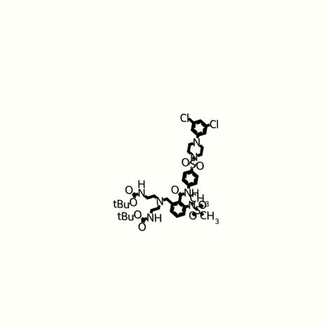 CN(c1cccc(CN(CCNC(=O)OC(C)(C)C)CCNC(=O)OC(C)(C)C)c1C(=O)Nc1ccc(S(=O)(=O)N2CCN(c3cc(Cl)cc(Cl)c3)CC2)cc1)S(C)(=O)=O